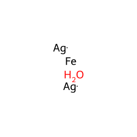 O.[Ag].[Ag].[Fe]